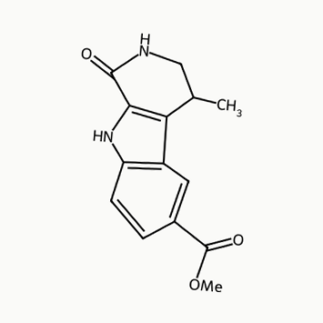 COC(=O)c1ccc2[nH]c3c(c2c1)C(C)CNC3=O